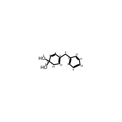 OC1(O)C=CC(Cc2ccccc2)=CC1